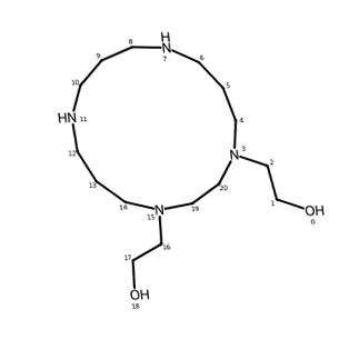 OCCN1CCCNCCCNCCCN(CCO)CC1